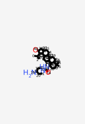 CC(C)C1=C2[C@H]3CC[C@@H]4[C@@]5(C)C(NC(=O)N6CCC(N)CC6)CCC(C)(C)[C@@H]5CC[C@@]4(C)[C@]3(C)CC[C@@]2(C)CC1=O